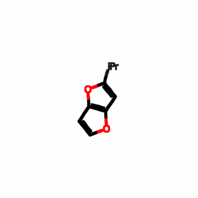 CC(C)c1cc2occc2o1